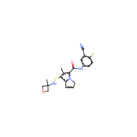 Cc1c(SNC2(C)COC2)c2n(c1C(=O)Nc1ccc(F)c(C#N)c1)CC=C2